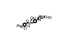 CC(C)Oc1ccc(C(=O)N[C@H](CCO)Cc2ccc(-c3cn(C)c([C@@H](C)NC=O)n3)cc2)cc1Cl